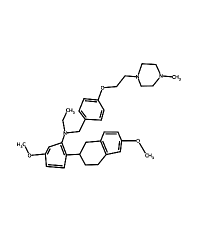 CCN(Cc1ccc(OCCN2CCN(C)CC2)cc1)c1cc(OC)ccc1C1CCc2cc(OC)ccc2C1